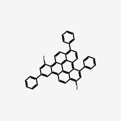 Ic1cc(-c2ccccc2)c2c3ccc(-c4ccccc4)c4ccc5c6c(I)cc(-c7ccccc7)cc6c6ccc1c2c6c5c43